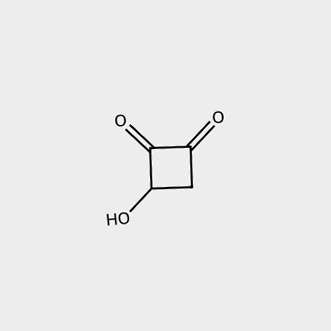 O=C1CC(O)C1=O